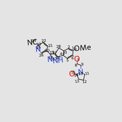 COc1cc2c(cc1OCCN1CCCC1=O)-c1[nH]nc(-c3ccc(C#N)nc3)c1C2